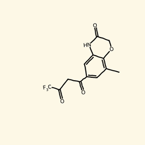 Cc1cc(C(=O)CC(=O)C(F)(F)F)cc2c1OCC(=O)N2